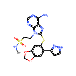 CC(C)NS(=O)(=O)CCn1c(Sc2cc3c(cc2-c2cc[nH]n2)OCO3)nc2c(N)ncnc21